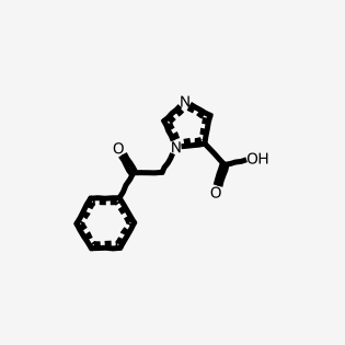 O=C(Cn1cncc1C(=O)O)c1ccccc1